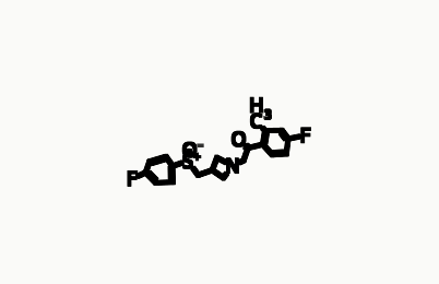 Cc1cc(F)ccc1C(=O)CN1CC(C[S+]([O-])c2ccc(F)cc2)C1